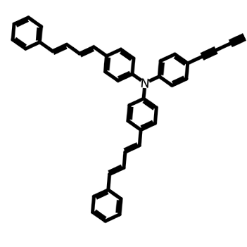 C#CC#Cc1ccc(N(c2ccc(/C=C/C=C/c3ccccc3)cc2)c2ccc(/C=C/C=C/c3ccccc3)cc2)cc1